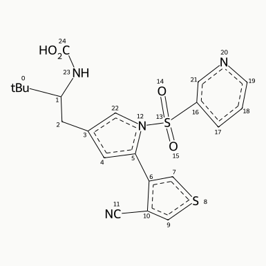 CC(C)(C)C(Cc1cc(-c2cscc2C#N)n(S(=O)(=O)c2cccnc2)c1)NC(=O)O